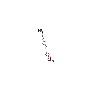 N#CC=CC=CCCC1CCC(CCCCc2ccc(OC(F)(F)F)cc2)CC1